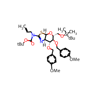 C=CCN(C(=O)OC(C)(C)C)C1=N[C@@H]2[C@@H](OCc3ccc(OC)cc3)[C@H](OCc3ccc(OC)cc3)[C@@H](CO[Si](C)(C)C(C)(C)C)O[C@@H]2S1